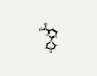 CCN(CC)c1ccnc(N2CCNCC2)n1